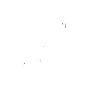 Cc1cccc([N+](=O)[O-])c1C=CN(C)C